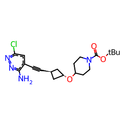 CC(C)(C)OC(=O)N1CCC(O[C@H]2C[C@H](C#Cc3cc(Cl)nnc3N)C2)CC1